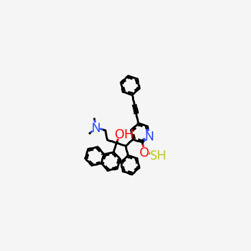 CN(C)CCC(O)(c1cccc2ccccc12)C(c1ccccc1)c1cc(C#Cc2ccccc2)cnc1OS